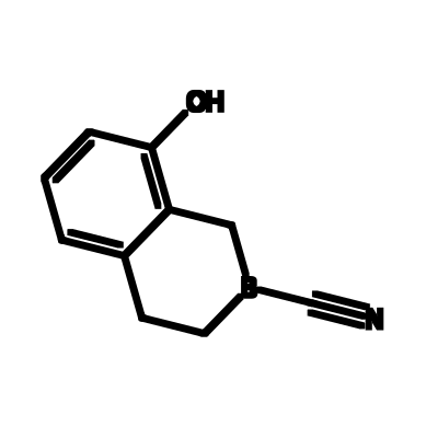 N#CB1CCc2cccc(O)c2C1